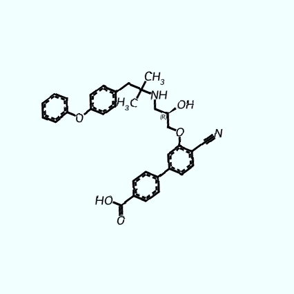 CC(C)(Cc1ccc(Oc2ccccc2)cc1)NC[C@@H](O)COc1cc(-c2ccc(C(=O)O)cc2)ccc1C#N